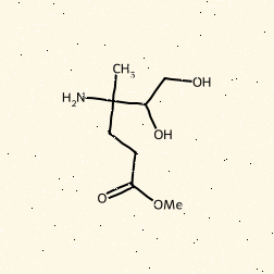 COC(=O)CCC(C)(N)C(O)CO